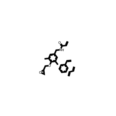 C=CC(=O)NCc1cc(C)c(OCC2CO2)c(C)c1.C=CC=C.C=Cc1ccccc1